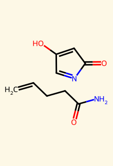 C=CCCC(N)=O.O=C1C=C(O)C=N1